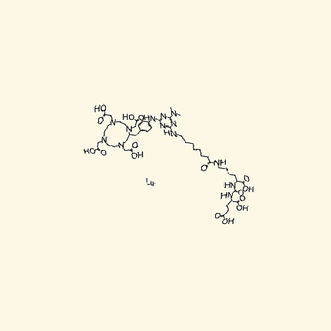 CN(C)c1nc(NCCCCCCCC(=O)NCCCCC(NC(=O)NC(CCC(=O)O)C(=O)O)C(=O)O)nc(Nc2ccc(CC3CN(CC(=O)O)CCN(CC(=O)O)CCN(CC(=O)O)CCN3CC(=O)O)cc2)n1.[Lu]